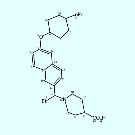 CCCC1CCC(Oc2ccc3cc(C(CC)N4CCC(C(=O)O)CC4)ccc3c2)CC1